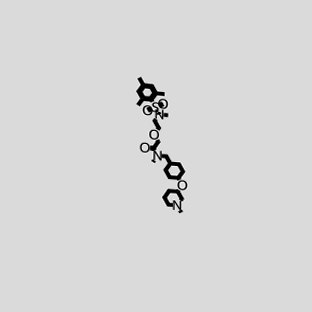 Cc1cc(C)c(S(=O)(=O)N(C)CCOCC(=O)N(C)CC2CCC(OC3CCCN(C)C3)CC2)c(C)c1